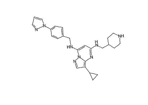 c1cnn(-c2ccc(CNc3cc(NCC4CCNCC4)nc4c(C5CC5)cnn34)cc2)c1